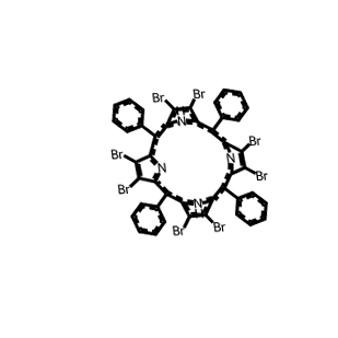 BrC1=C(Br)c2nc1c(-c1ccccc1)c1[nH]c(c(Br)c1Br)c(-c1ccccc1)c1nc(c(-c3ccccc3)c3[nH]c(c(Br)c3Br)c2-c2ccccc2)C(Br)=C1Br